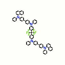 FC(F)(F)C(c1ccc(N(c2ccccc2)c2ccc(-c3ccc(N(c4ccccc4)c4cccc5ccccc45)cc3)cc2)cc1)(c1ccc(N(c2ccccc2)c2ccc(-c3ccc(N(c4ccccc4)c4cccc5ccccc45)cc3)cc2)cc1)C(F)(F)F